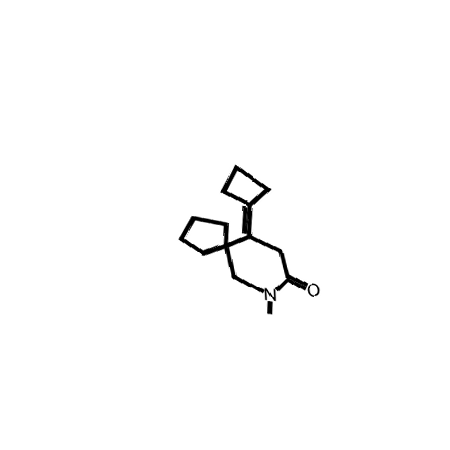 CN1CC2(CCCC2)C(=C2CCC2)CC1=O